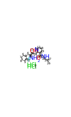 Cl.Cl.N[C@H](Cc1ccccc1F)[C@@H](O)Cc1ncccc1C(=O)NCC1CC1